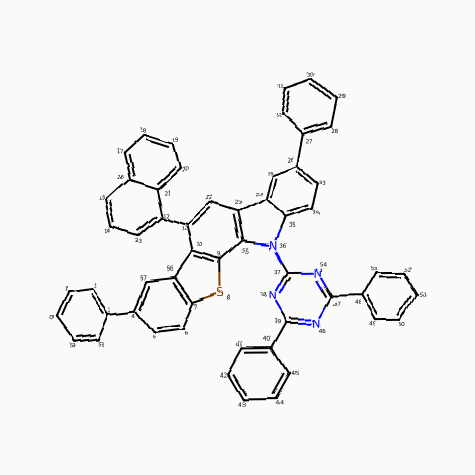 c1ccc(-c2ccc3sc4c(c(-c5cccc6ccccc56)cc5c6cc(-c7ccccc7)ccc6n(-c6nc(-c7ccccc7)nc(-c7ccccc7)n6)c54)c3c2)cc1